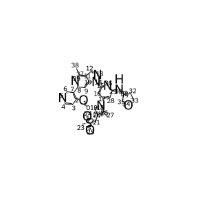 COc1ccncc1-c1cc2c(cnn2-c2cc(N3C[C@H](CS(C)(=O)=O)[C@H]3C)cc(N[C@@H]3CCOC3)n2)c(C)n1